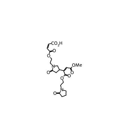 COC(=O)/C=C(\C(=O)OCCN1CCCC1=O)C1CC(=O)N(CCOC(=O)/C=C\C(=O)O)C1